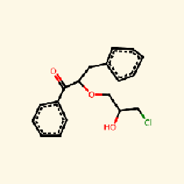 O=C(c1ccccc1)C(Cc1ccccc1)OCC(O)CCl